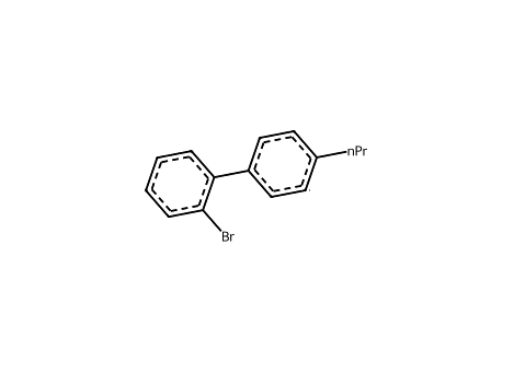 CCCc1[c]cc(-c2ccccc2Br)cc1